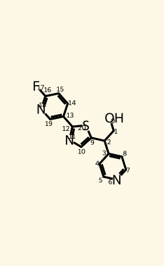 OCC(c1ccncc1)c1cnc(-c2ccc(F)nc2)s1